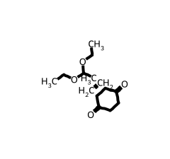 C=C.CCOC(C)OCC.O=C1CCC(=O)CC1